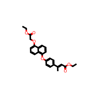 CCOC(=O)C=C(C)c1ccc(Oc2cccc3c(OCC(=O)OCC)cccc23)cc1